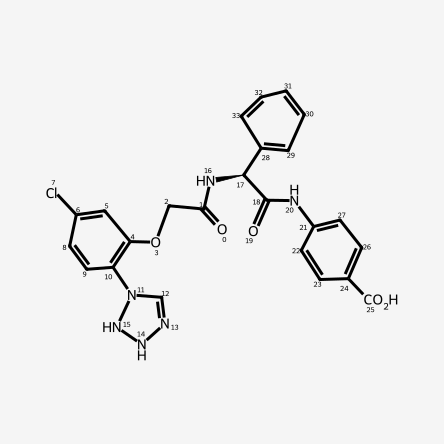 O=C(COc1cc(Cl)ccc1N1C=NNN1)N[C@H](C(=O)Nc1ccc(C(=O)O)cc1)c1ccccc1